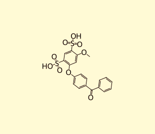 COc1cc(Oc2ccc(C(=O)c3ccccc3)cc2)c(S(=O)(=O)O)cc1S(=O)(=O)O